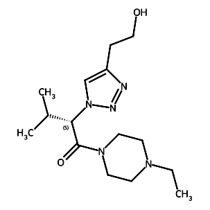 CCN1CCN(C(=O)[C@H](C(C)C)n2cc(CCO)nn2)CC1